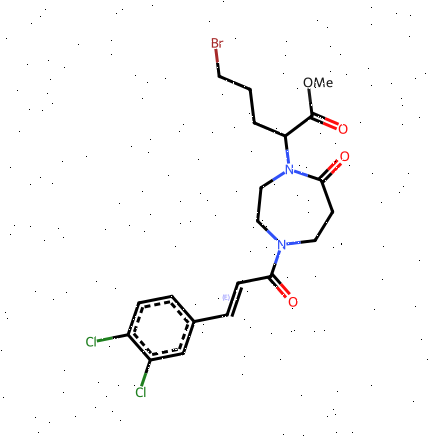 COC(=O)C(CCCBr)N1CCN(C(=O)/C=C/c2ccc(Cl)c(Cl)c2)CCC1=O